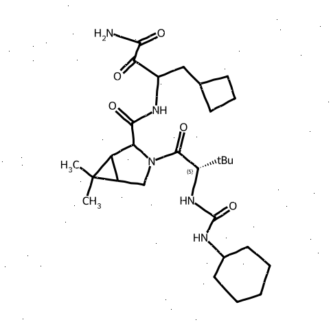 CC1(C)C2CN(C(=O)[C@@H](NC(=O)NC3CCCCC3)C(C)(C)C)C(C(=O)NC(CC3CCC3)C(=O)C(N)=O)C21